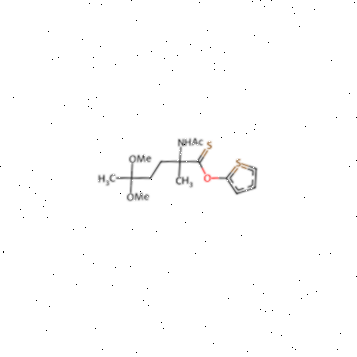 COC(C)(CCC(C)(NC(C)=O)C(=S)Oc1cccs1)OC